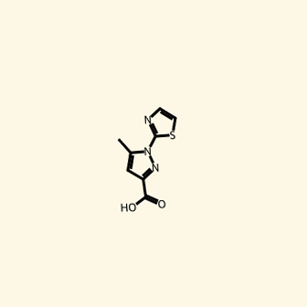 Cc1cc(C(=O)O)nn1-c1nccs1